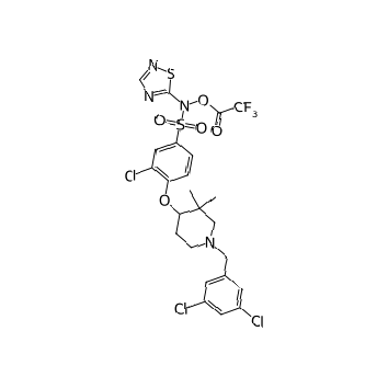 CC1(C)CN(Cc2cc(Cl)cc(Cl)c2)CCC1Oc1ccc(S(=O)(=O)N(OC(=O)C(F)(F)F)c2ncns2)cc1Cl